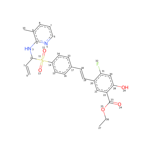 C=CC(Nc1ncccc1C)S(=O)(=O)c1ccc(C=Cc2cc(C(=O)OCC)c(O)cc2F)cc1